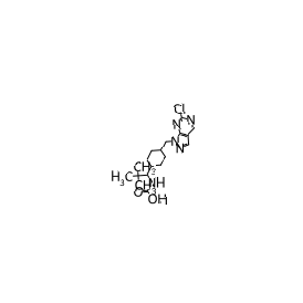 CC(C)(C)C(NC(=O)O)C1CCC(Cn2ncc3cnc(Cl)nc32)CC1